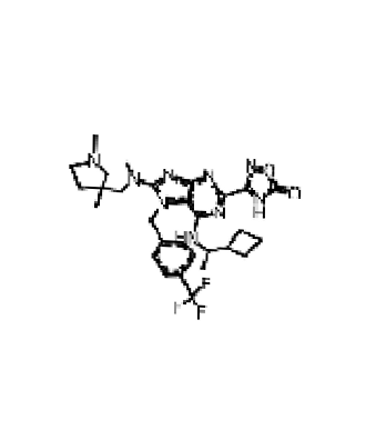 C[C@@H](Nc1nc(-c2noc(=O)[nH]2)nc2nc(N(C)CC3(C)CCN(C)C3)n(Cc3ccc(C(F)(F)F)cc3)c12)C1CCC1